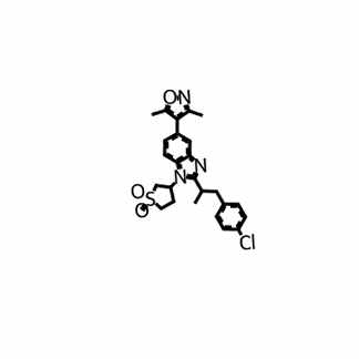 Cc1noc(C)c1-c1ccc2c(c1)nc(C(C)Cc1ccc(Cl)cc1)n2C1CCS(=O)(=O)C1